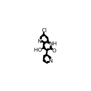 O=c1[nH]c2cc(Cl)cnc2c(O)c1-c1cccnc1